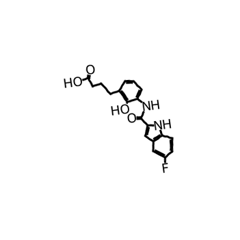 O=C(O)CCCc1cccc(NC(=O)c2cc3cc(F)ccc3[nH]2)c1O